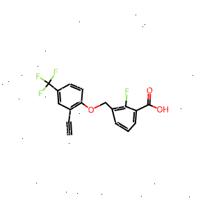 C#Cc1cc(C(F)(F)F)ccc1OCc1cccc(C(=O)O)c1F